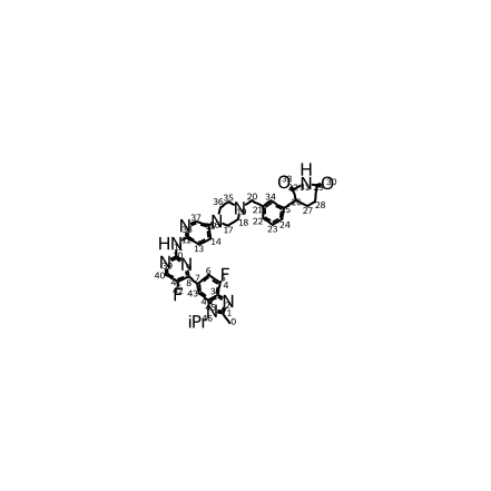 Cc1nc2c(F)cc(-c3nc(Nc4ccc(N5CCN(Cc6cccc(C7CCC(=O)NC7=O)c6)CC5)cn4)ncc3F)cc2n1C(C)C